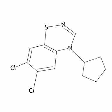 Clc1cc2c(cc1Cl)N(C1CCCC1)C=NS2